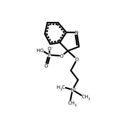 C[N+](C)(C)CCOC1(OP(=O)([O-])O)C=Nc2ccccc21